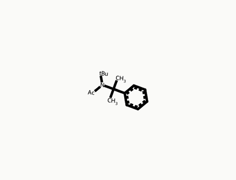 CC(=O)N(C(C)(C)C)C(C)(C)c1ccccc1